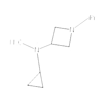 CC(C)N1CC(N(C)C2CC2)C1